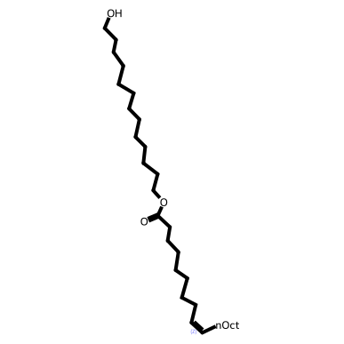 CCCCCCCC/C=C\CCCCCCCC(=O)OCCCCCCCCCCCCCO